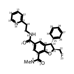 CNC(=O)c1cc(C(=O)NCCc2ccccn2)cc2c1O[C@H](CF)[C@H]2c1ccccc1